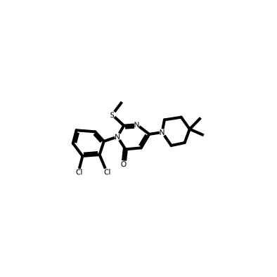 CSc1nc(N2CCC(C)(C)CC2)cc(=O)n1-c1cccc(Cl)c1Cl